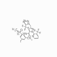 CNC(=O)c1cc(I)cc(C)c1NC(=O)c1cc(Cn2nnnc2C(F)(F)F)nn1-c1ncccc1C(F)(F)F